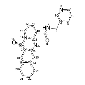 O=C(NCc1cccnc1)c1cccn2c(=O)c3cc4ccccc4cc3nc12